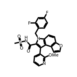 COc1ncccc1-c1c(C(=O)NS(C)(=O)=O)n(Cc2ccc(F)cc2F)c2ccc3occc3c12